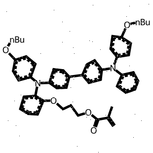 C=C(C)C(=O)OCCCOc1ccccc1N(c1ccc(OCCCC)cc1)c1ccc(-c2ccc(N(c3ccccc3)c3ccc(OCCCC)cc3)cc2)cc1